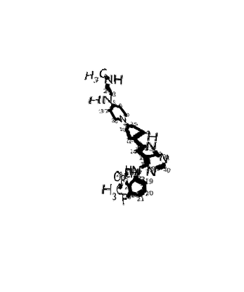 CNCCNC1CCN(c2ccc(-c3cc4c(Nc5cccc(F)c5P(C)(C)=O)ncnc4[nH]3)cc2)CC1